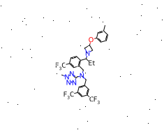 CCC(c1ccc(C(F)(F)F)cc1CN(Cc1cc(C(F)(F)F)cc(C(F)(F)F)c1)c1nnn(C)n1)N1CC(Oc2cccc(C)c2)C1